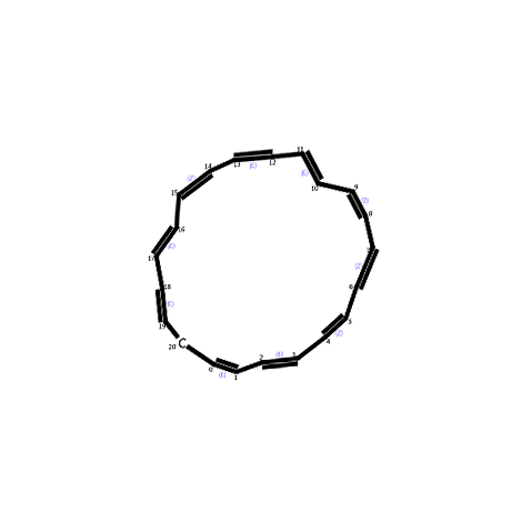 [C]1=C/C=C/C=C\C=C/C=C\C=C\C=C\C=C/C=C/C=C/C/1